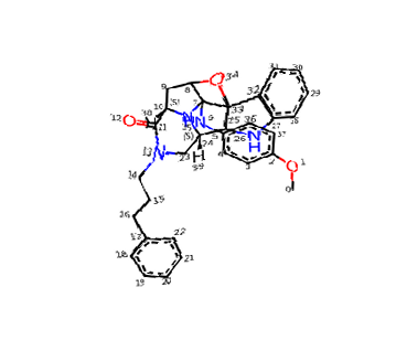 COc1ccc(NC23C4C[C@H]5C(=O)N(CCCc6ccccc6)C[C@@H](C6Nc7ccccc7C62O4)N53)cc1